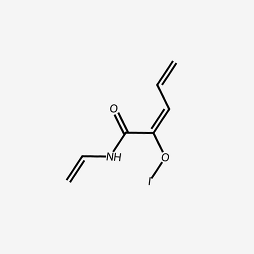 C=C/C=C(/OI)C(=O)NC=C